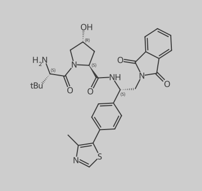 Cc1ncsc1-c1ccc([C@@H](CN2C(=O)c3ccccc3C2=O)NC(=O)[C@@H]2C[C@@H](O)CN2C(=O)[C@@H](N)C(C)(C)C)cc1